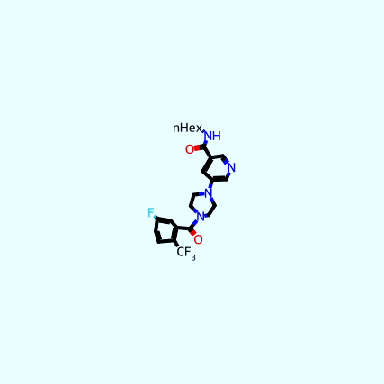 CCCCCCNC(=O)c1cncc(N2CCN(C(=O)c3cc(F)ccc3C(F)(F)F)CC2)c1